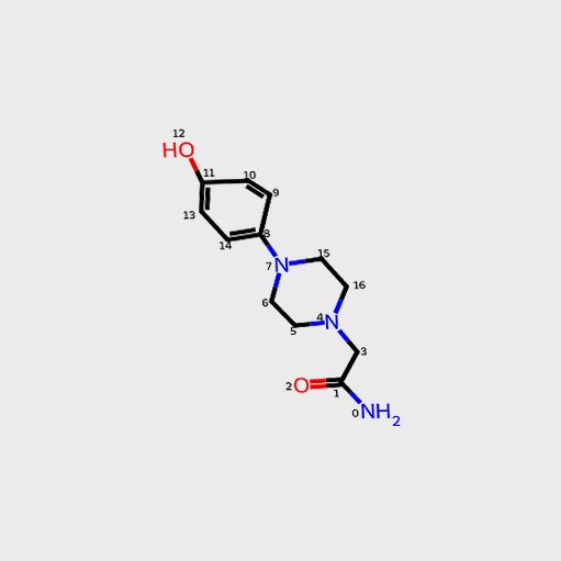 NC(=O)CN1CCN(c2ccc(O)cc2)CC1